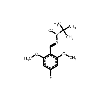 COc1cc(F)cc(OC)c1/C=N/[S+]([O-])C(C)(C)C